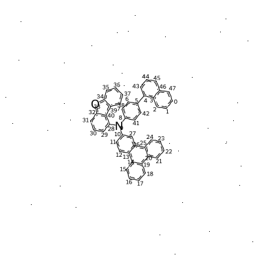 c1ccc2c(-c3ccc(N(c4ccc5c6ccccc6c6ccccc6c5c4)c4cccc5oc6ccccc6c45)cc3)cccc2c1